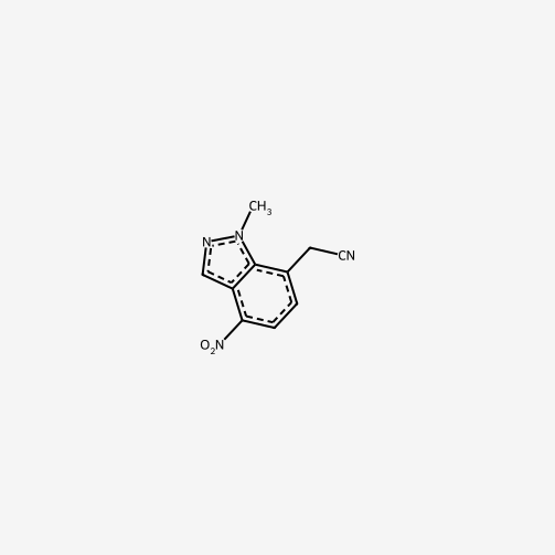 Cn1ncc2c([N+](=O)[O-])ccc(CC#N)c21